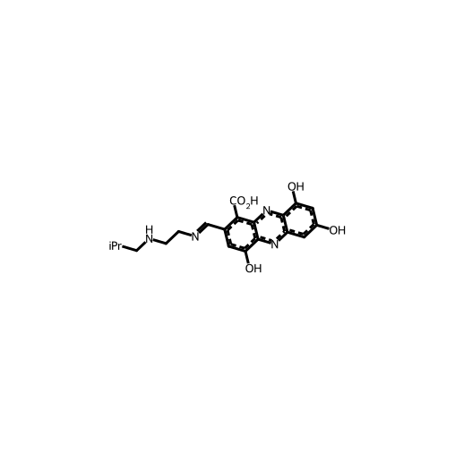 CC(C)CNCC/N=C/c1cc(O)c2nc3cc(O)cc(O)c3nc2c1C(=O)O